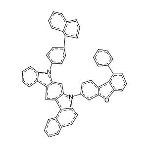 c1ccc(-c2cccc3oc4cc(-n5c6cc7c(cc6c6c8ccccc8ccc65)c5ccccc5n7-c5ccc(-c6cccc7ccccc67)cc5)ccc4c23)cc1